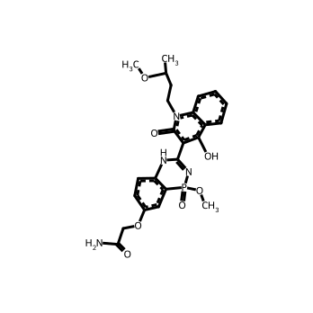 COC(C)CCn1c(=O)c(C2=NP(=O)(OC)c3cc(OCC(N)=O)ccc3N2)c(O)c2ccccc21